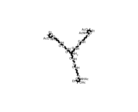 CC[C@H]1O[C@@H](OCCCCCNC(=O)COCCNC(=O)CCC(N)(CCC(=O)NCCOCC(=O)NCCCCCO[C@@H]2O[C@H](CC)[C@H](C)[C@H](OC(C)=O)[C@H]2NC(C)=O)CCC(=O)NCCOCC(=O)NCCCCCO[C@@H]2O[C@H](CC)[C@H](C)[C@H](OC(C)=O)[C@H]2NC(C)=O)[C@H](NC(C)=O)[C@@H](OC(C)=O)[C@H]1C